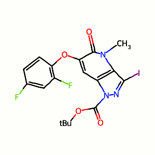 Cn1c(=O)c(Oc2ccc(F)cc2F)cc2c1c(I)nn2C(=O)OC(C)(C)C